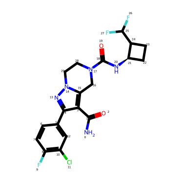 NC(=O)c1c(-c2ccc(F)c(Cl)c2)nn2c1CN(C(=O)N[C@@H]1CCC1C(F)F)CC2